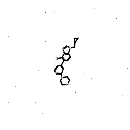 Clc1c(-c2ccnc(N3CCNCC3)c2)ccc2c1nnn2CC1CC1